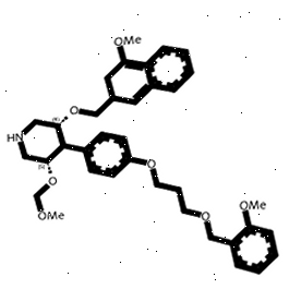 COCO[C@@H]1CNC[C@H](OCC2C=c3ccccc3=C(OC)C2)C1c1ccc(OCCCOCc2ccccc2OC)cc1